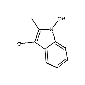 Cc1c(Cl)c2ccccc2n1O